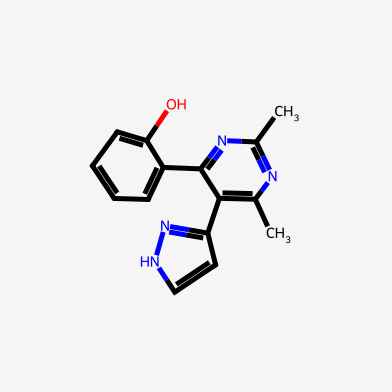 Cc1nc(C)c(-c2cc[nH]n2)c(-c2ccccc2O)n1